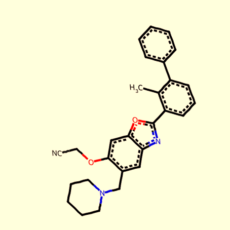 Cc1c(-c2ccccc2)cccc1-c1nc2cc(CN3CCCCC3)c(OCC#N)cc2o1